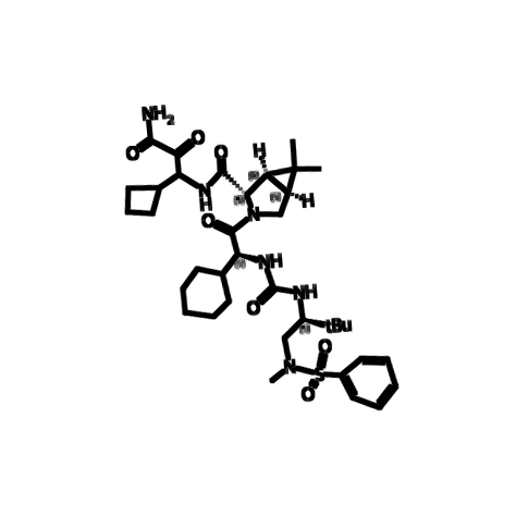 CN(C[C@@H](NC(=O)N[C@H](C(=O)N1C[C@H]2[C@@H]([C@H]1C(=O)NC(C(=O)C(N)=O)C1CCC1)C2(C)C)C1CCCCC1)C(C)(C)C)S(=O)(=O)c1ccccc1